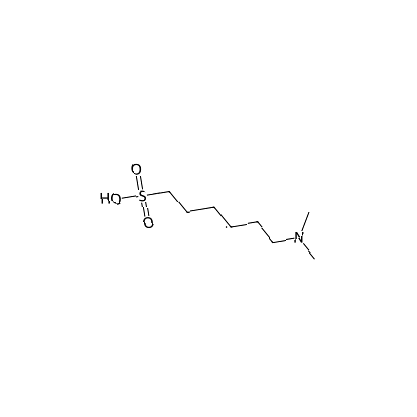 CN(C)CC[CH]CCCS(=O)(=O)O